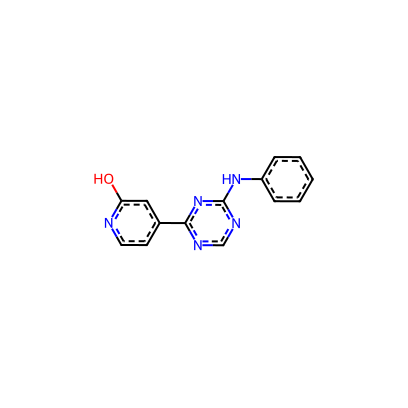 Oc1cc(-c2ncnc(Nc3ccccc3)n2)ccn1